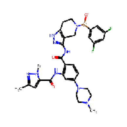 CCn1nc(C)cc1C(=O)Nc1cc(N2CCN(C)CC2)ccc1C(=O)Nc1n[nH]c2c1CN([S+]([O-])c1cc(F)cc(F)c1)CC2